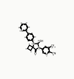 N#Cc1ncc(N2C(=O)C3(CCC3)N(c3ccc(-c4ccccn4)cc3)C2S)cc1C(F)(F)F